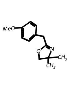 COc1ccc(CC2=NC(C)(C)CO2)cc1